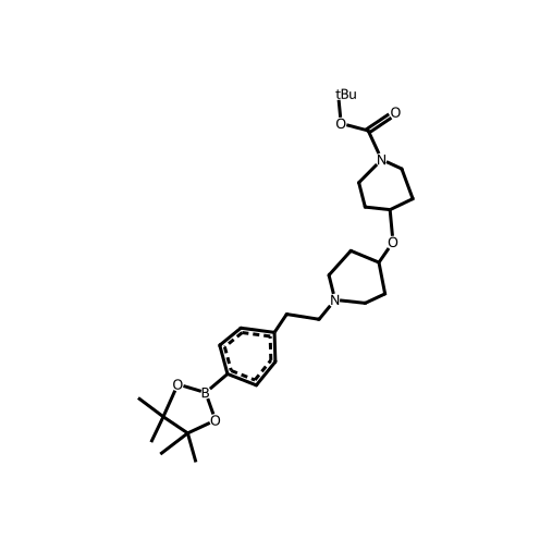 CC(C)(C)OC(=O)N1CCC(OC2CCN(CCc3ccc(B4OC(C)(C)C(C)(C)O4)cc3)CC2)CC1